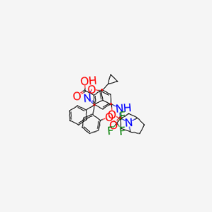 O=C(O)c1ccc(NC(=O)N2C3CCC2CC(OCc2c(-c4ccccc4OC(F)(F)F)noc2C2CC2)C3)cc1-c1ccccc1